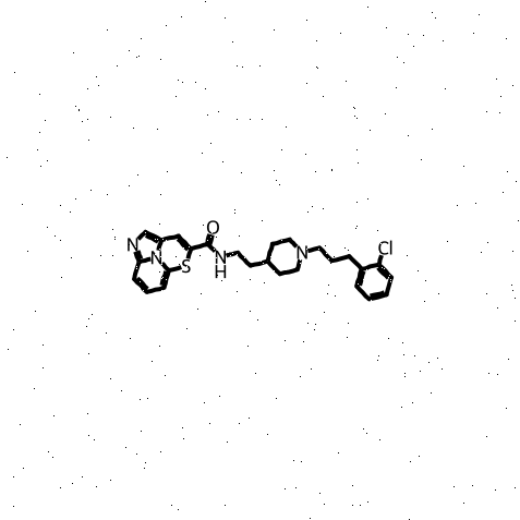 O=C(NCCC1CCN(CCCc2ccccc2Cl)CC1)C1=Cc2cnc3cccc(n23)S1